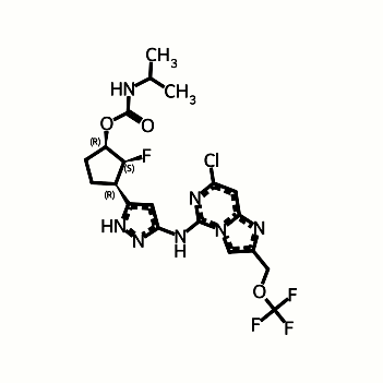 CC(C)NC(=O)O[C@@H]1CC[C@H](c2cc(Nc3nc(Cl)cc4nc(COC(F)(F)F)cn34)n[nH]2)[C@@H]1F